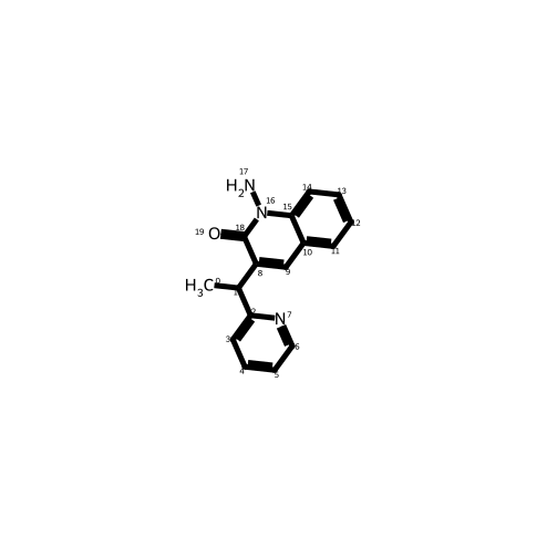 CC(c1ccccn1)c1cc2ccccc2n(N)c1=O